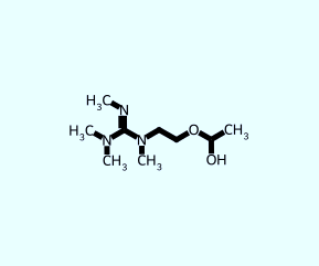 C/N=C(\N(C)C)N(C)CCOC(C)O